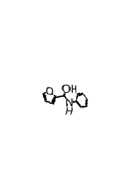 OC(Nc1ccccc1)c1ccco1